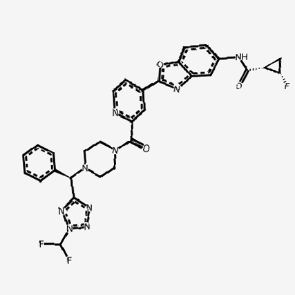 O=C(Nc1ccc2oc(-c3ccnc(C(=O)N4CCN([C@H](c5ccccc5)c5nnn(C(F)F)n5)CC4)c3)nc2c1)[C@@H]1C[C@@H]1F